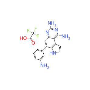 Nc1cccc(-c2cc3nc(N)nc(N)c3c3cc[nH]c23)c1.O=C(O)C(F)(F)F